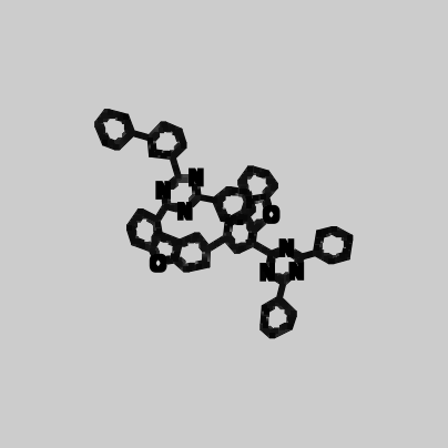 c1ccc(-c2cccc(-c3nc(-c4ccccc4)nc(-c4cccc5oc6ccc(-c7cc(-c8nc(-c9ccccc9)nc(-c9ccccc9)n8)c8oc9ccccc9c8c7)cc6c45)n3)c2)cc1